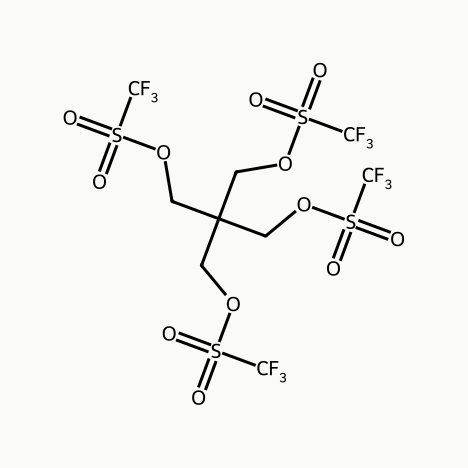 O=S(=O)(OCC(COS(=O)(=O)C(F)(F)F)(COS(=O)(=O)C(F)(F)F)COS(=O)(=O)C(F)(F)F)C(F)(F)F